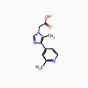 Cc1cc(-c2ncn(CC(=O)O)c2C)ccn1